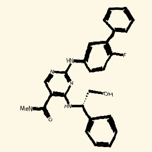 CNC(=O)c1cnc(Nc2ccc(F)c(-c3ccccc3)c2)nc1N[C@H](CO)c1ccccc1